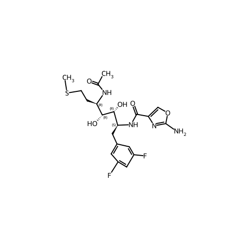 CSCC[C@@H](NC(C)=O)[C@@H](O)[C@H](O)[C@H](Cc1cc(F)cc(F)c1)NC(=O)c1coc(N)n1